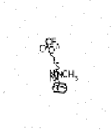 Cn1c(SCCCOC(=O)C(F)(F)F)nnc1C12CC3CC(CC(C3)C1)C2